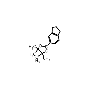 CC1(C)OB(c2ccc3c(c2)C[CH]C3)OC1(C)C